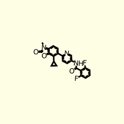 Cn1c(=O)oc2c(C3CC3)c(-c3ccc(NC(=O)c4c(F)cccc4F)cn3)ccc21